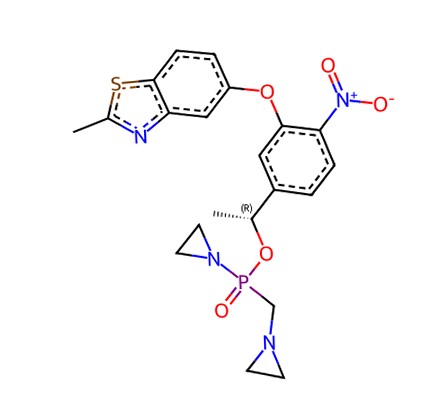 Cc1nc2cc(Oc3cc([C@@H](C)OP(=O)(CN4CC4)N4CC4)ccc3[N+](=O)[O-])ccc2s1